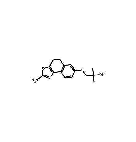 CC(C)(O)COc1ccc2c(c1)CCc1sc(N)nc1-2